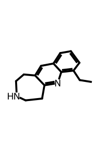 CCc1cccc2cc3c(nc12)CCNCC3